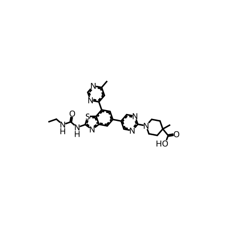 CCNC(=O)Nc1nc2cc(-c3cnc(N4CCC(C)(C(=O)O)CC4)nc3)cc(-c3cc(C)ncn3)c2s1